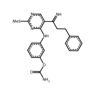 CSc1ncc(C(=N)CCc2ccccc2)c(Nc2cccc(OC(N)=O)c2)n1